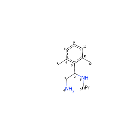 CCCNC(CN)c1c(C)cccc1C